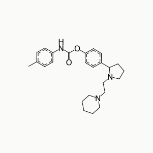 Cc1ccc(NC(=O)Oc2ccc(C3CCCN3CCN3CCCCC3)cc2)cc1